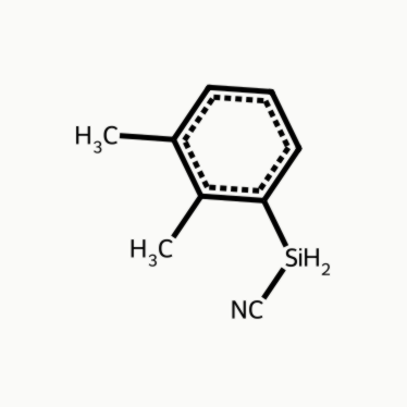 Cc1cccc([SiH2]C#N)c1C